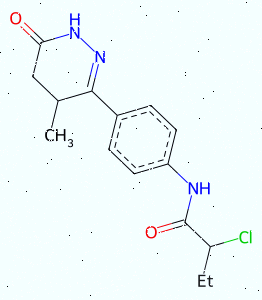 CCC(Cl)C(=O)Nc1ccc(C2=NNC(=O)CC2C)cc1